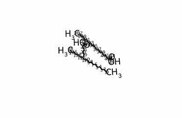 CCCCCCCCC=CCCC(CCCCCC)CCCCC(=O)O.CCCCCCCCC=CCCCCCCCC(=O)O